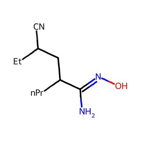 CCCC(CC(C#N)CC)/C(N)=N/O